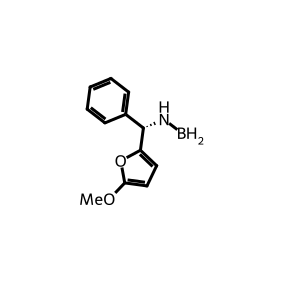 BN[C@@H](c1ccccc1)c1ccc(OC)o1